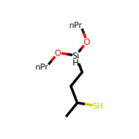 CCCO[SiH](CCC(C)S)OCCC